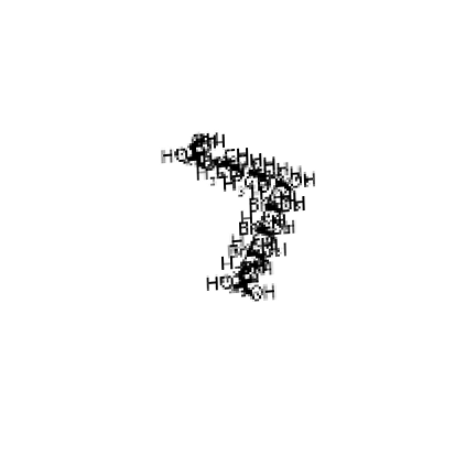 CC(C)(Br)C(=O)O.CC(C)(Br)C(=O)O.CC(C)(Br)C(=O)O.CC(C)(Br)C(=O)O.CC(C)(Br)C(=O)O.CC(C)(Br)C(=O)O.OCC(CO)(CO)CO.OCC(CO)(CO)CO